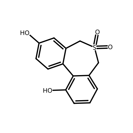 O=S1(=O)Cc2cc(O)ccc2-c2c(O)cccc2C1